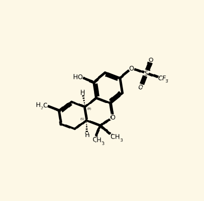 CC1=C[C@H]2c3c(O)cc(OS(=O)(=O)C(F)(F)F)cc3OC(C)(C)[C@H]2CC1